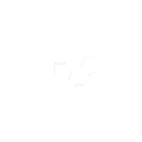 O=C(O)C(S)=Cc1cccc2ccccc12